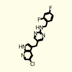 Fc1ccc(CNc2ncc(Cc3c[nH]c4ncc(Cl)cc34)cn2)c(F)c1